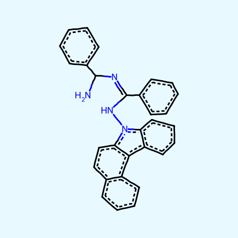 NC(/N=C(\Nn1c2ccccc2c2c3ccccc3ccc21)c1ccccc1)c1ccccc1